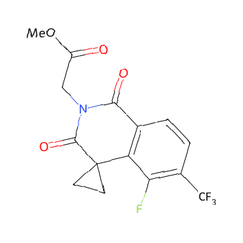 COC(=O)CN1C(=O)c2ccc(C(F)(F)F)c(F)c2C2(CC2)C1=O